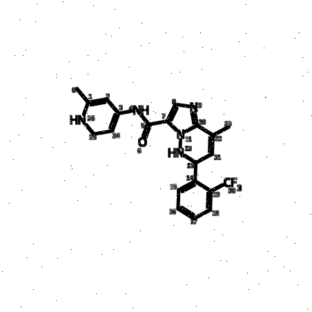 CC1=CC(NC(=O)c2cnc3n2NC(c2ccccc2C(F)(F)F)C=C3C)=CCN1